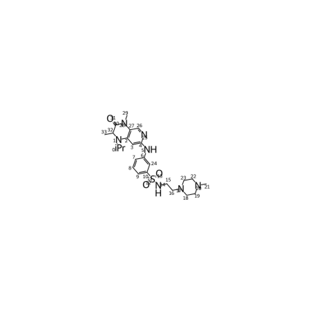 CC(C)N1c2cc(Nc3cccc(S(=O)(=O)NCCN4CCN(C)CC4)c3)ncc2N(C)C(=O)C1C